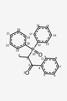 CC(C(=O)c1ccccc1)P(=O)(c1ccccc1)c1ccccc1